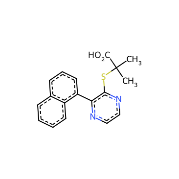 CC(C)(Sc1nccnc1-c1cccc2ccccc12)C(=O)O